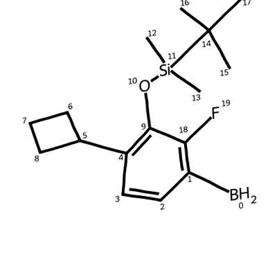 Bc1ccc(C2CCC2)c(O[Si](C)(C)C(C)(C)C)c1F